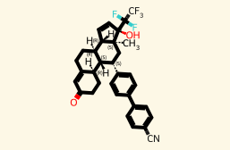 C[C@]12C[C@H](c3ccc(-c4ccc(C#N)cc4)cc3)[C@H]3[C@@H](CCC4=CC(=O)CC[C@@H]43)[C@@H]1C=C[C@]2(O)C(F)(F)C(F)(F)F